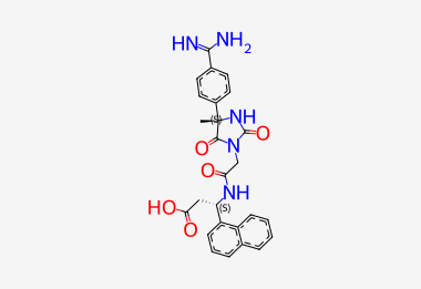 C[C@@]1(c2ccc(C(=N)N)cc2)NC(=O)N(CC(=O)N[C@@H](CC(=O)O)c2cccc3ccccc23)C1=O